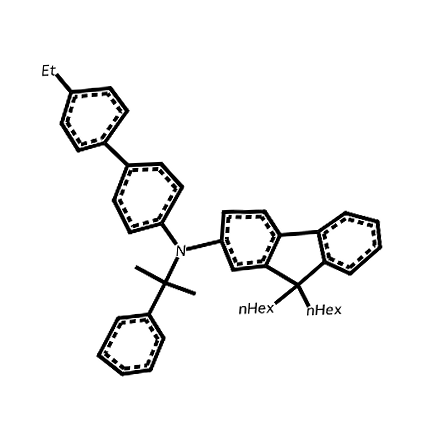 CCCCCCC1(CCCCCC)c2ccccc2-c2ccc(N(c3ccc(-c4ccc(CC)cc4)cc3)C(C)(C)c3ccccc3)cc21